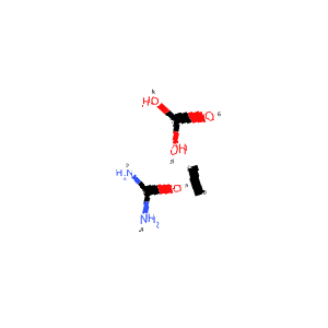 C=C.NC(N)=O.O=C(O)O